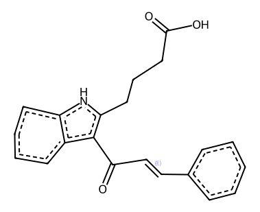 O=C(O)CCCc1[nH]c2ccccc2c1C(=O)/C=C/c1ccccc1